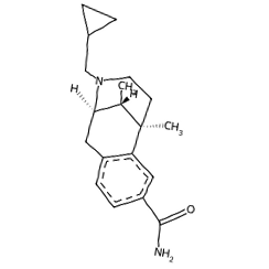 C[C@H]1[C@H]2Cc3ccc(C(N)=O)cc3[C@]1(C)CCN2CC1CC1